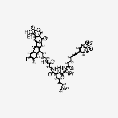 CC[C@@]1(O)C(=O)OCc2c1cc1n(c2=O)Cc2c-1nc1cc(F)c(C)cc1c2CCCNC(=O)CNC(=O)[C@H](CCCCN(C)C)NC(=O)[C@@H](NC(=O)CCCC#Cc1cnc(S(C)(=O)=O)nc1)C(C)C